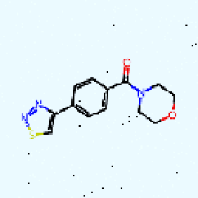 O=C(c1ccc(-c2csnn2)cc1)N1CCOCC1